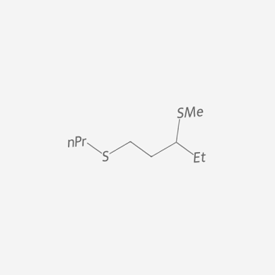 [CH2]CC(CCSCCC)SC